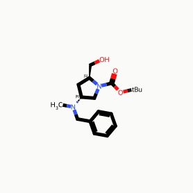 CN(Cc1ccccc1)[C@@H]1C[C@@H](CO)N(C(=O)OC(C)(C)C)C1